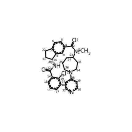 CN(C(=O)c1ccc2c(c1)[C@H](NC(=O)c1ccccc1Cl)CC2)C1CCCN(c2ccncc2)CC1